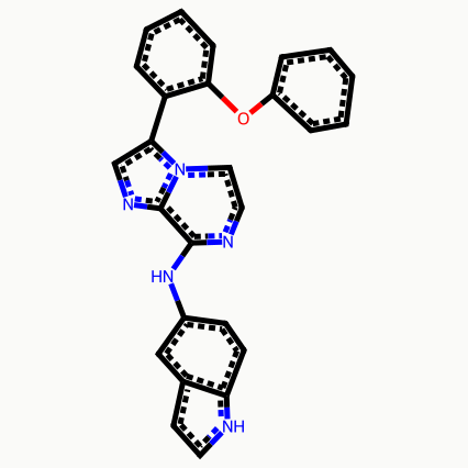 c1ccc(Oc2ccccc2-c2cnc3c(Nc4ccc5[nH]ccc5c4)nccn23)cc1